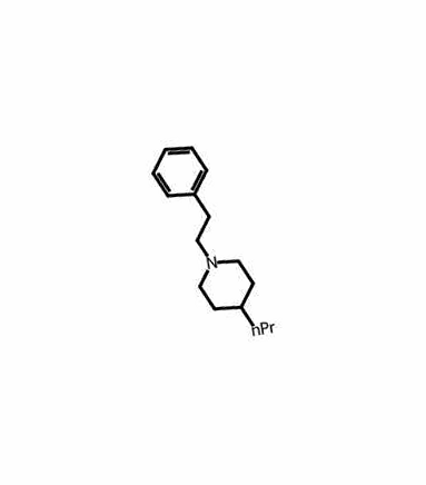 CCCC1CCN(CCc2ccccc2)CC1